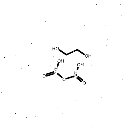 O=[PH](O)O[PH](=O)O.OCCO